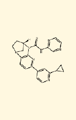 O=C(Nc1cnccn1)N1c2nc(-c3ccnc(C4CC4)c3)ccc2N2CC[C@H]1C2